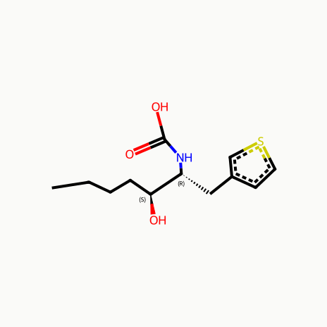 CCCC[C@H](O)[C@@H](Cc1ccsc1)NC(=O)O